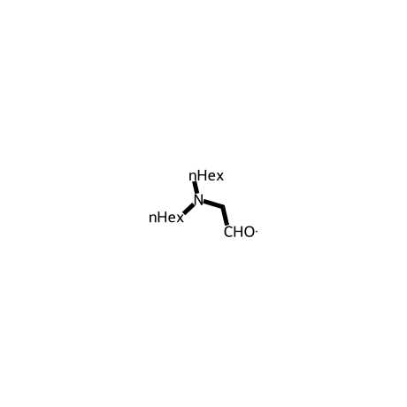 CCCCCCN(C[C]=O)CCCCCC